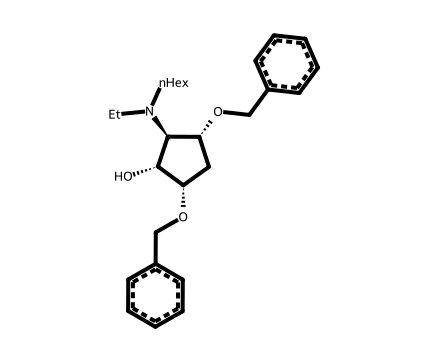 CCCCCCN(CC)[C@@H]1[C@@H](O)[C@@H](OCc2ccccc2)C[C@H]1OCc1ccccc1